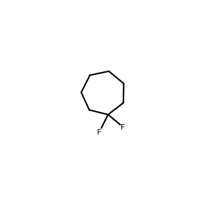 FC1(F)CCCCCC1